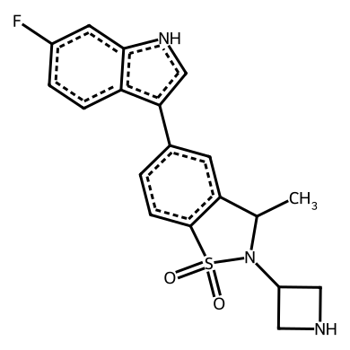 CC1c2cc(-c3c[nH]c4cc(F)ccc34)ccc2S(=O)(=O)N1C1CNC1